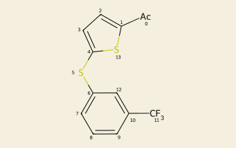 CC(=O)c1ccc(Sc2cccc(C(F)(F)F)c2)s1